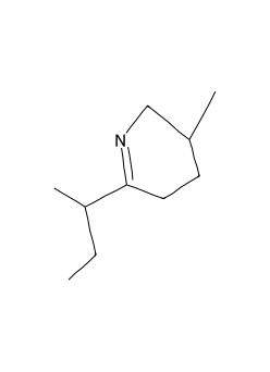 CCC(C)C1=NCC(C)CC1